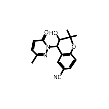 Cc1ccc(=O)n(C2c3cc(C#N)ccc3OC(C)(C)C2O)n1